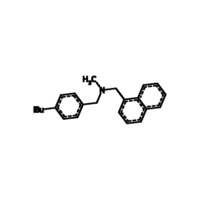 CCC(C)c1ccc(CN(C)Cc2cccc3ccccc23)cc1